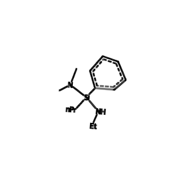 CCC[Si](NCC)(c1ccccc1)N(C)C